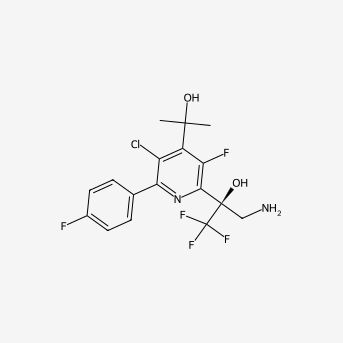 CC(C)(O)c1c(F)c([C@](O)(CN)C(F)(F)F)nc(-c2ccc(F)cc2)c1Cl